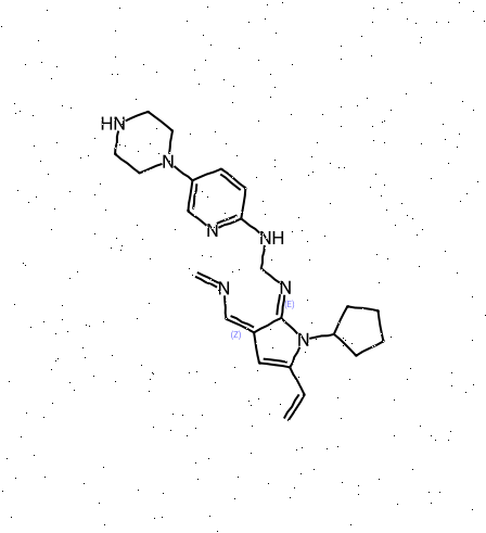 C=CC1=CC(=C/N=C)/C(=N\CNc2ccc(N3CCNCC3)cn2)N1C1CCCC1